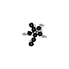 CC(C)(C)c1ccc(N2c3cc4c(cc3B3c5c(cc(-c6ccc7c(c6)oc6ccccc67)cc52)-c2cc(C(C)(C)C)cc5c2N3c2ccc(C(C)(C)C)cc2O5)oc2ccccc24)cc1